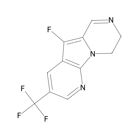 Fc1c2n(c3ncc(C(F)(F)F)cc13)CCN=C2